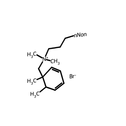 CCCCCCCCCCCC[N+](C)(C)CC1(C)C=CC=CC1C.[Br-]